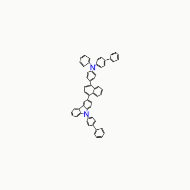 c1ccc(-c2ccc(N(c3ccccc3)c3ccc(-c4ccc(-c5ccc6c(c5)c5ccccc5n6-c5ccc(-c6ccccc6)cc5)c5ccccc45)cc3)cc2)cc1